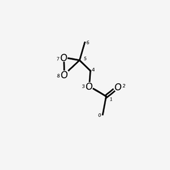 CC(=O)OCC1(C)OO1